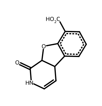 O=C(O)c1cccc2c1OC1C(=O)NC=CC21